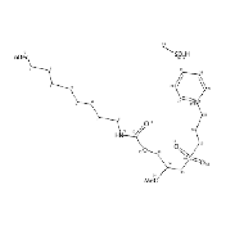 CCCCCCCCCCCCCCCCCCNC(=O)OCC(CS(=O)(=O)CCC[n+]1ccccc1)OC.CS(=O)(=O)O